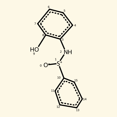 [O-][S+](Nc1ccccc1O)c1ccccc1